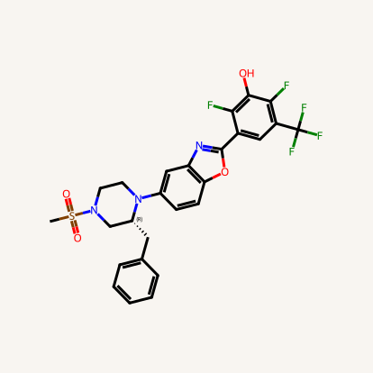 CS(=O)(=O)N1CCN(c2ccc3oc(-c4cc(C(F)(F)F)c(F)c(O)c4F)nc3c2)[C@H](Cc2ccccc2)C1